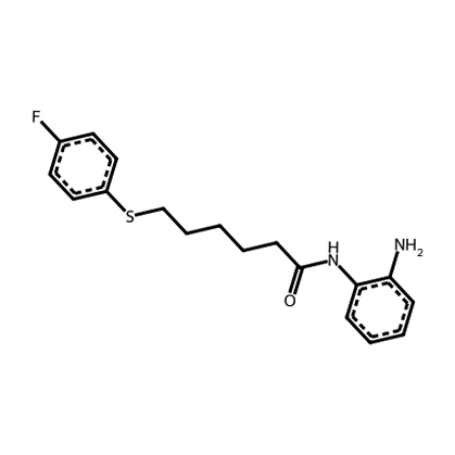 Nc1ccccc1NC(=O)CCCCCSc1ccc(F)cc1